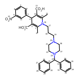 CC1=C(C(=O)O)C(c2cccc([N+](=O)[O-])c2)C(C(=O)O)=C(C)N1CCCN1CCN(C(c2ccccc2)c2ccccc2)CC1